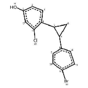 Oc1ccc(C2CC2c2ccc(Br)cc2)c(Cl)c1